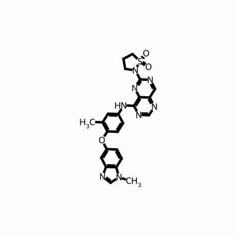 Cc1cc(Nc2ncnc3cnc(N4CCCS4(=O)=O)nc23)ccc1Oc1ccc2c(c1)ncn2C